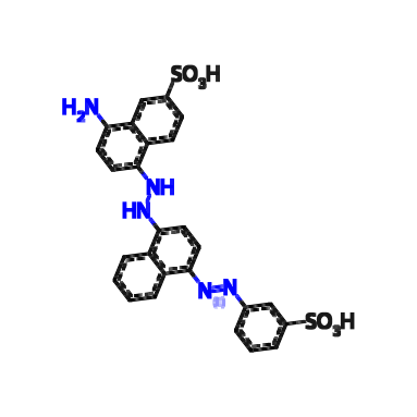 Nc1ccc(NNc2ccc(/N=N/c3cccc(S(=O)(=O)O)c3)c3ccccc23)c2ccc(S(=O)(=O)O)cc12